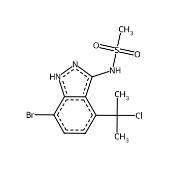 CC(C)(Cl)c1ccc(Br)c2[nH]nc(NS(C)(=O)=O)c12